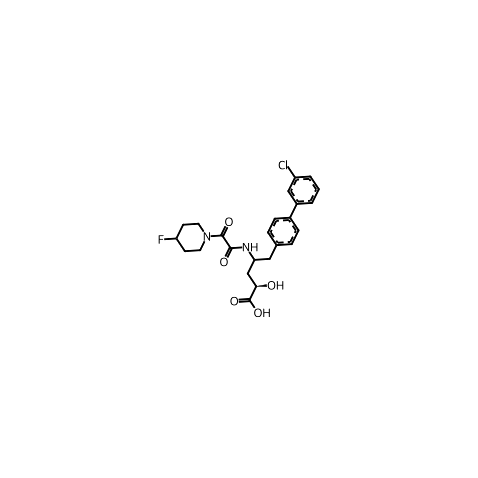 O=C(NC(Cc1ccc(-c2cccc(Cl)c2)cc1)C[C@@H](O)C(=O)O)C(=O)N1CCC(F)CC1